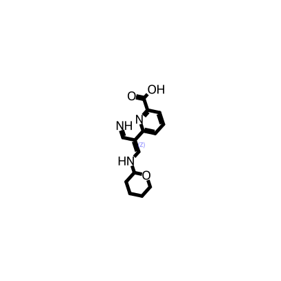 N=C/C(=C\NC1CCCCO1)c1cccc(C(=O)O)n1